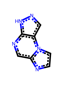 c1cn2c(cnc3[nH]ncc32)n1